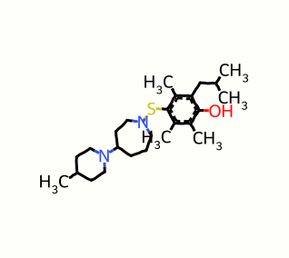 Cc1c(C)c(SN2CCCC(N3CCC(C)CC3)CC2)c(C)c(CC(C)C)c1O